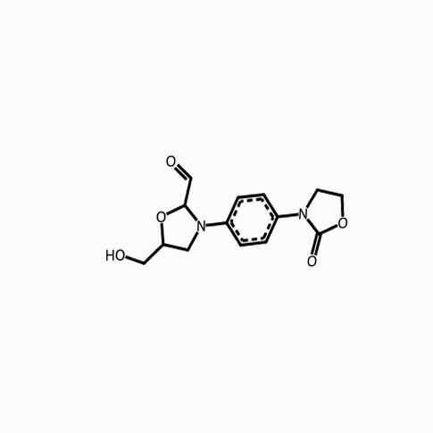 O=CC1OC(CO)CN1c1ccc(N2CCOC2=O)cc1